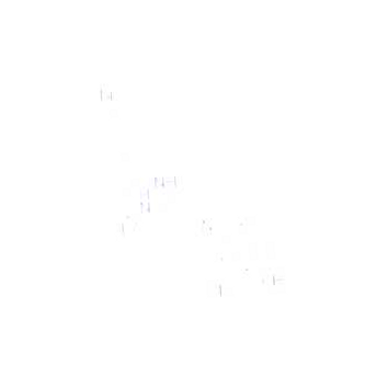 CNC1(NC(C=O)c2ccc(Br)cc2)CCN(C(=O)OC(C)(C)C)CC1